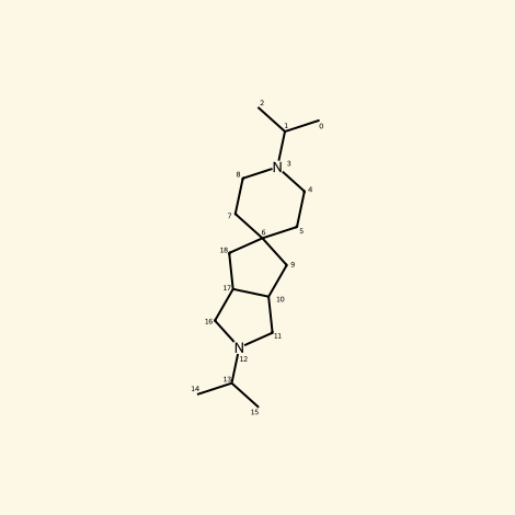 CC(C)N1CCC2(CC1)CC1CN(C(C)C)CC1C2